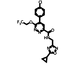 O=C(NCc1noc(C2CC2)n1)c1cc(-c2ccc(Cl)cc2)c(OCC(F)(F)F)nn1